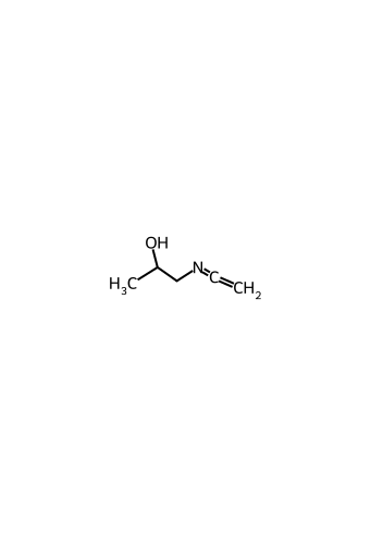 C=C=NCC(C)O